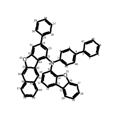 c1ccc(-c2ccc(N(c3cccc4c3oc3ccccc34)c3cc(-c4ccccc4)cc4oc5cc6ccccc6cc5c34)cc2)cc1